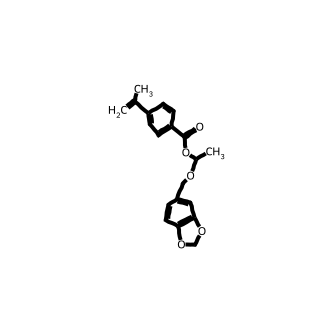 C=C(C)c1ccc(C(=O)OC(C)OCc2ccc3c(c2)OCO3)cc1